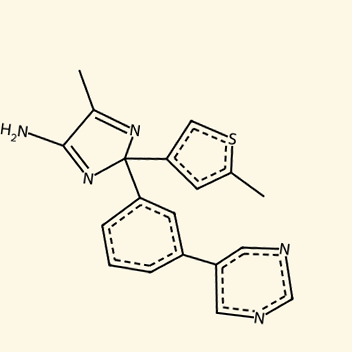 CC1=NC(c2cccc(-c3cncnc3)c2)(c2csc(C)c2)N=C1N